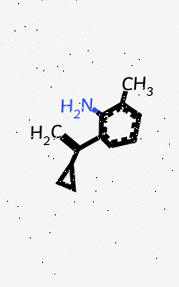 C=C(c1cccc(C)c1N)C1CC1